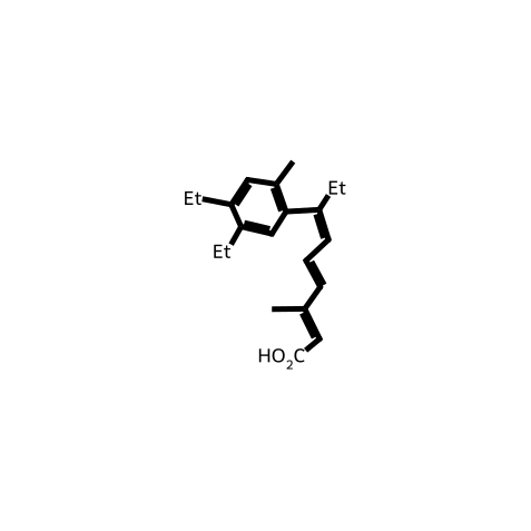 CC/C(=C/C=C/C(C)=C/C(=O)O)c1cc(CC)c(CC)cc1C